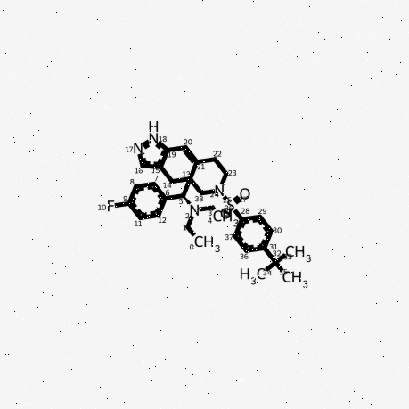 CCN(CC)[C@@H](c1ccc(F)cc1)C12Cc3cn[nH]c3C=C1CCN(S(=O)(=O)c1ccc(C(C)(C)C)cc1)C2